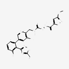 COc1cc(C(=O)NNC(=O)NCc2ncc(-c3cccc(F)c3-c3noc(C)n3)cc2F)on1